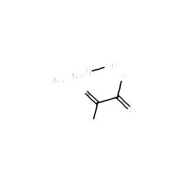 O=C([O-])C(=O)[O-].O=NO.[Na+].[Na+]